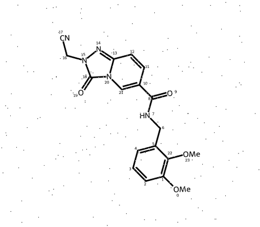 COc1cccc(CNC(=O)c2ccc3nn(CC#N)c(=O)n3c2)c1OC